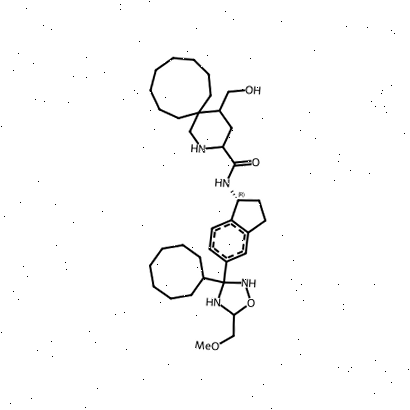 COCC1NC(c2ccc3c(c2)CC[C@H]3NC(=O)C2CC(CO)C3(CCCCCCCC3)CN2)(C2CCCCCCC2)NO1